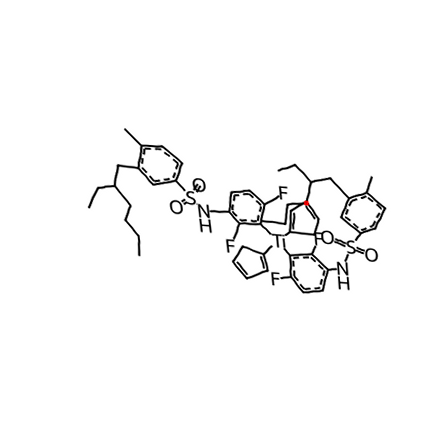 CCCCC(CC)Cc1cc(S(=O)(=O)Nc2ccc(F)[c]([Ti]([C]3=CC=CC3)([C]3=CC=CC3)[c]3c(F)ccc(NS(=O)(=O)c4ccc(C)c(CC(CC)CCCC)c4)c3F)c2F)ccc1C